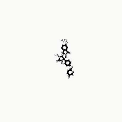 COc1ccc2c(c1)C(=O)N(C[C@@]1(c3ccc(Oc4ccc(F)cn4)cc3)NC(=O)N(S)C1=O)C2